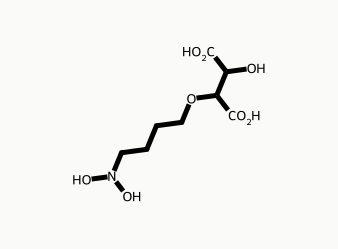 O=C(O)C(O)C(OCCCCN(O)O)C(=O)O